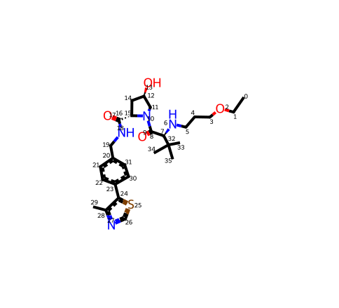 CCOCCCN[C@H](C(=O)N1C[C@H](O)C[C@H]1C(=O)NCc1ccc(-c2scnc2C)cc1)C(C)(C)C